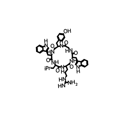 CC(C)CC1NC(=O)C(Cc2c[nH]c3ccccc23)NC(=O)C(Cc2ccc(O)cc2)NC(=O)CNC(=O)C(Cc2c[nH]c3ccccc23)NC(=O)C(CCCNC(=N)N)NC1=O